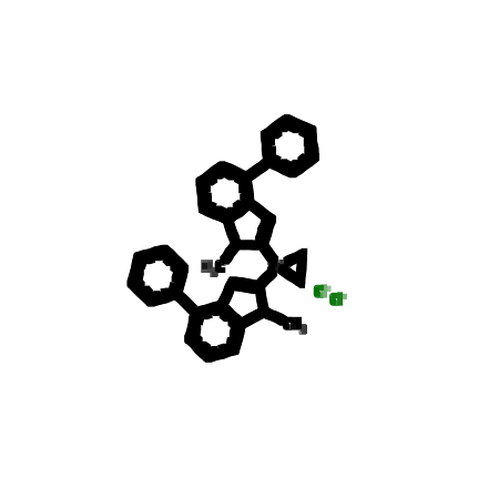 CC1[C]([Zr+2]2([C]3=Cc4c(-c5ccccc5)cccc4C3C)[CH2][CH2]2)=Cc2c(-c3ccccc3)cccc21.[Cl-].[Cl-]